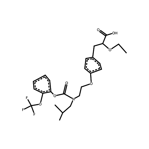 CCOC(Cc1ccc(OCCN(CC(C)C)C(=O)Oc2ccccc2OC(F)(F)F)cc1)C(=O)O